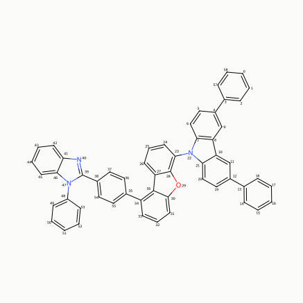 c1ccc(-c2ccc3c(c2)c2cc(-c4ccccc4)ccc2n3-c2cccc3c2oc2cccc(-c4ccc(-c5nc6ccccc6n5-c5ccccc5)cc4)c23)cc1